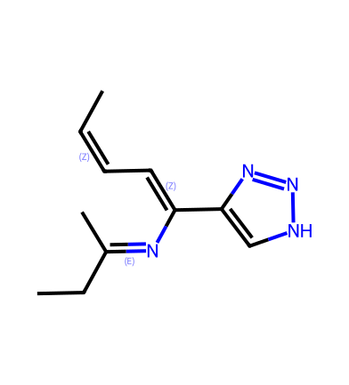 C\C=C/C=C(\N=C(/C)CC)c1c[nH]nn1